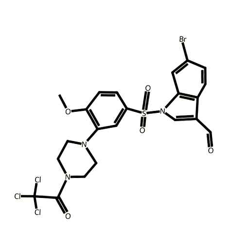 COc1ccc(S(=O)(=O)n2cc(C=O)c3ccc(Br)cc32)cc1N1CCN(C(=O)C(Cl)(Cl)Cl)CC1